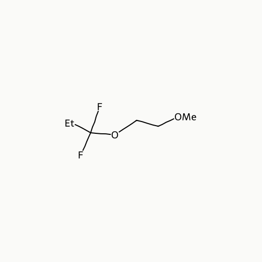 CCC(F)(F)OCCOC